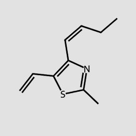 C=Cc1sc(C)nc1/C=C\CC